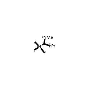 CCCC(NC)[N+](C)(C)C